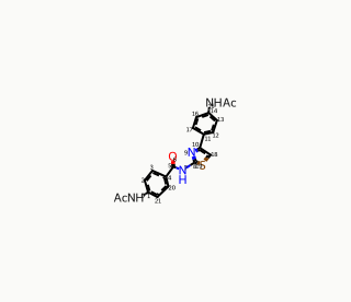 CC(=O)Nc1ccc(C(=O)Nc2nc(-c3ccc(NC(C)=O)cc3)cs2)cc1